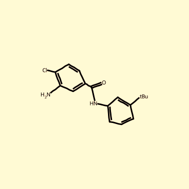 CC(C)(C)c1cccc(NC(=O)c2ccc(Cl)c(N)c2)c1